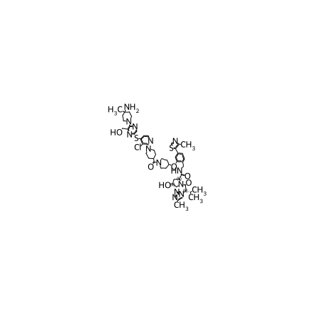 Cc1cn([C@H](C(=O)N2C[C@H](O)C[C@H]2C(=O)NCc2ccc(-c3scnc3C)cc2OC2CCN(C(=O)C3CCN(c4nccc(Sc5cnc(N6CCC(C)(N)CC6)c(CO)n5)c4Cl)CC3)CC2)C(C)C)nn1